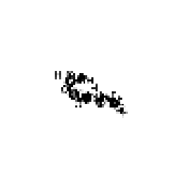 C[N+]1(CC2CCNC2)CCC(C(=O)N2CCN(C(=O)c3ccc(Nc4nccn5c(-c6ccc(OC(F)F)c(F)c6F)cnc45)cc3Cl)CC2)CC1